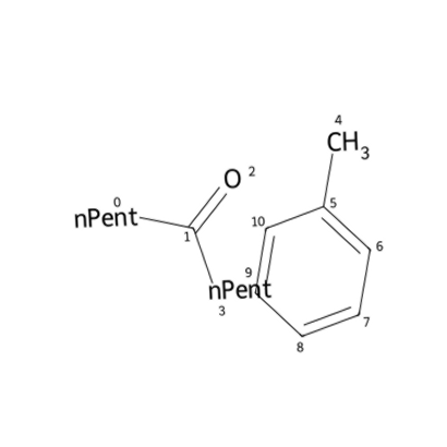 CCCCCC(=O)CCCCC.Cc1ccccc1